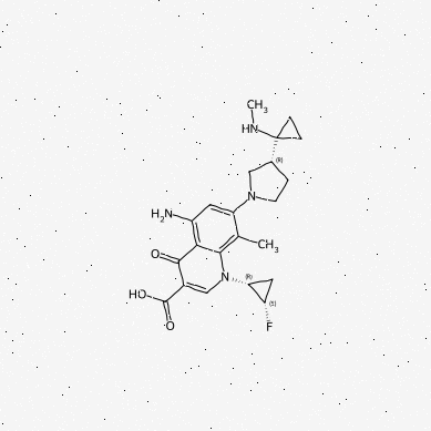 CNC1([C@@H]2CCN(c3cc(N)c4c(=O)c(C(=O)O)cn([C@@H]5C[C@@H]5F)c4c3C)C2)CC1